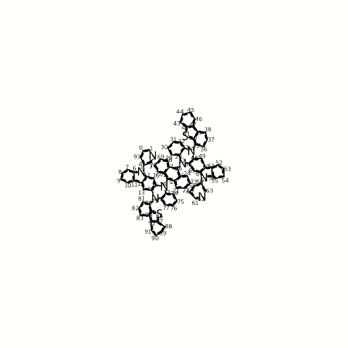 c1cncc(-n2c3ccccc3c3cc4c(cc32)N(c2c3ccccc3c(N3c5ccccc5N(c5cccc6c5sc5ccccc56)c5cc6c7ccccc7n(-c7cccnc7)c6cc53)c3ccccc23)c2ccccc2N4c2cccc3c2sc2ccccc23)c1